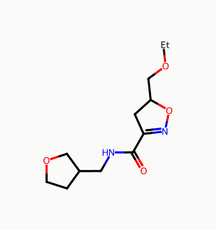 CCOCC1CC(C(=O)NCC2CCOC2)=NO1